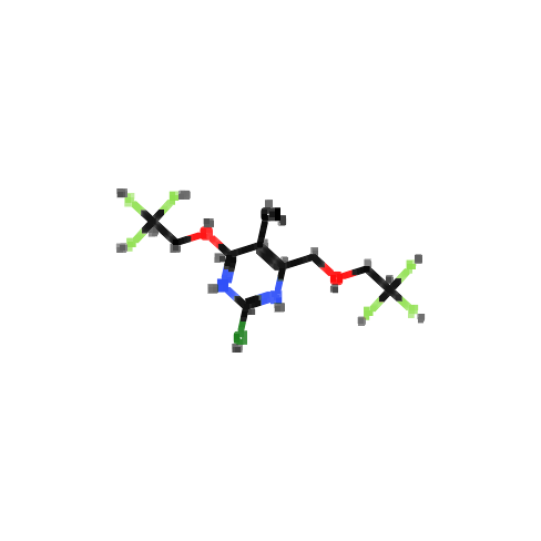 Cc1c(COCC(F)(F)F)nc(Cl)nc1OCC(F)(F)F